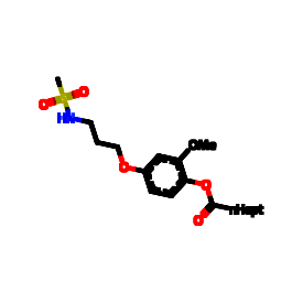 CCCCCCCC(=O)Oc1ccc(OCCCNS(C)(=O)=O)cc1OC